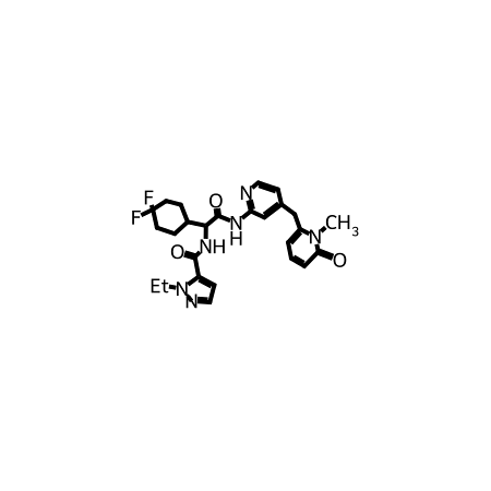 CCn1nccc1C(=O)NC(C(=O)Nc1cc(Cc2cccc(=O)n2C)ccn1)C1CCC(F)(F)CC1